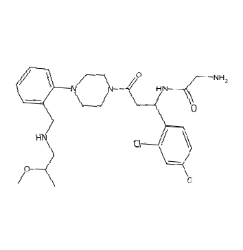 COC(C)CNCc1ccccc1N1CCN(C(=O)CC(NC(=O)CN)c2ccc(Cl)cc2Cl)CC1